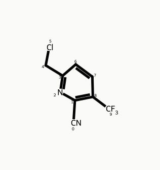 N#Cc1nc(CCl)ccc1C(F)(F)F